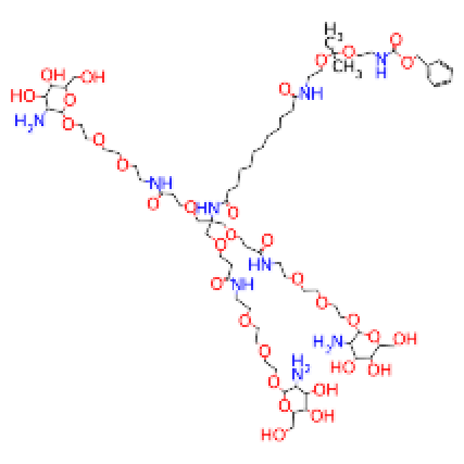 CC(C)(OCCNC(=O)CCCCCCCCCCC(=O)NC(COCCC(=O)NCCOCCOCCOC1OC(CO)C(O)C(O)C1N)(COCCC(=O)NCCOCCOCCOC1OC(CO)C(O)C(O)C1N)COCCC(=O)NCCOCCOCCOC1OC(CO)C(O)C(O)C1N)OCCNC(=O)OCc1ccccc1